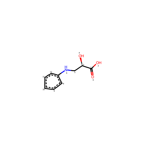 O=C(O)[C@H](O)CNc1ccccc1